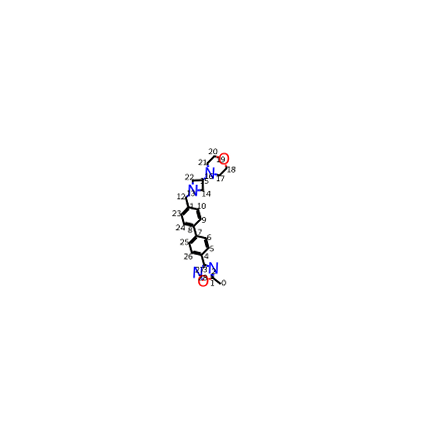 Cc1nc(-c2ccc(-c3ccc(CN4CC(N5CCOCC5)C4)cc3)cc2)no1